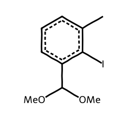 COC(OC)c1cccc(C)c1I